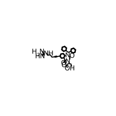 CCC(C(=O)O)N1CC(=O)N(C(c2ccccc2)c2ccccc2)c2ccc(C#CCCCNC(=N)N)cc2C1=O